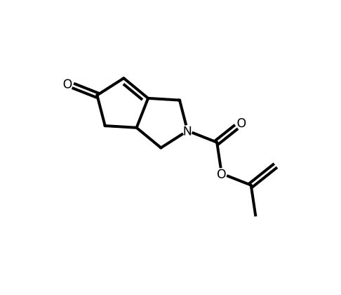 C=C(C)OC(=O)N1CC2=CC(=O)CC2C1